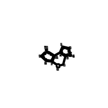 c1cc2c(s1)COc1ccsc1-2